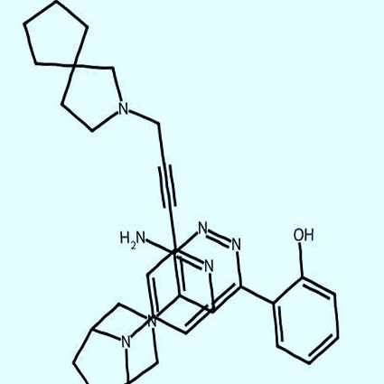 Nc1nnc(-c2ccccc2O)cc1N1CC2CCC(C1)N2c1ccnc(C#CCN2CCC3(CCCC3)C2)c1